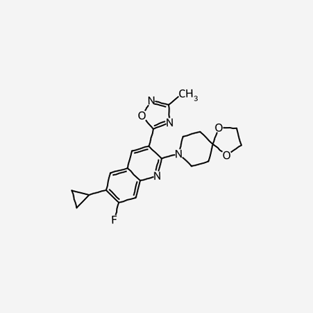 Cc1noc(-c2cc3cc(C4CC4)c(F)cc3nc2N2CCC3(CC2)OCCO3)n1